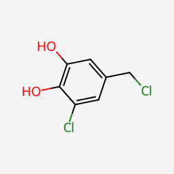 Oc1cc(CCl)cc(Cl)c1O